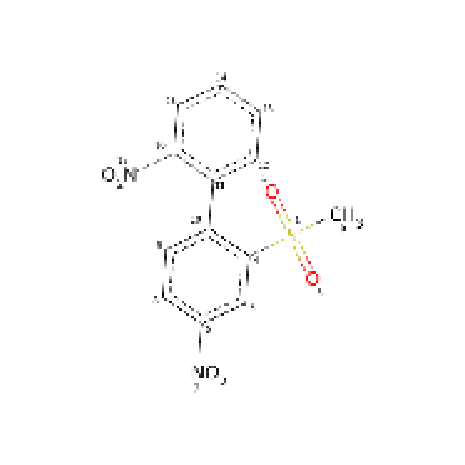 CS(=O)(=O)c1cc([N+](=O)[O-])ccc1-c1cc[c]cc1[N+](=O)[O-]